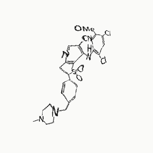 COc1cc(Nc2c(C#N)cnc3c2S(=O)(=O)C(c2ccc(CN4CCN(C)CC4)cc2)=C3)c(Cl)cc1Cl